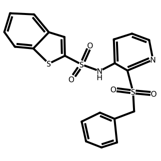 O=S(=O)(Cc1ccccc1)c1ncccc1NS(=O)(=O)c1cc2ccccc2s1